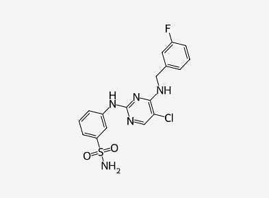 NS(=O)(=O)c1cccc(Nc2ncc(Cl)c(NCc3cccc(F)c3)n2)c1